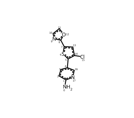 Nc1ccc(-c2sc(-c3ncco3)cc2Cl)cn1